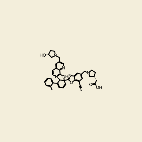 Cc1ccccc1C1=CC=CC(Nc2nccc3cc(CN4CC[C@@H](O)C4)cnc23)(c2nc3cc(CN4CC[C@H](CC(=O)O)C4)cc(C#N)c3o2)C1C